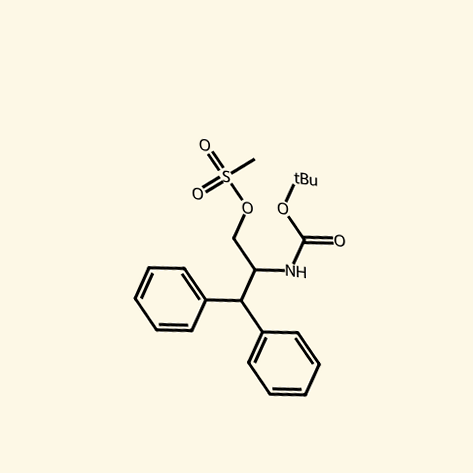 CC(C)(C)OC(=O)NC(COS(C)(=O)=O)C(c1ccccc1)c1ccccc1